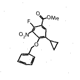 COC(=O)c1cc(C2CC2)c(OCc2ccccc2)c([N+](=O)[O-])c1F